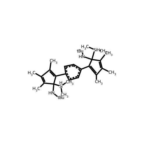 CC1=C(C)C(NC(C)(C)C)([SiH](C)C)C(c2ccc(C3=C(C)C(C)=C(C)C3(NC(C)(C)C)[SiH](C)C)cc2)=C1C